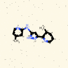 Cc1ccnc(Nc2cc(-c3ncccc3C)n[nH]2)c1